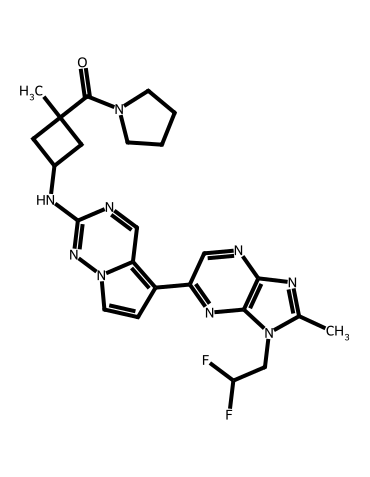 Cc1nc2ncc(-c3ccn4nc(NC5CC(C)(C(=O)N6CCCC6)C5)ncc34)nc2n1CC(F)F